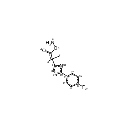 CC(C)(C(=O)ON)c1csc(-c2ccc(F)cc2)n1